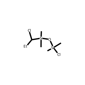 CCC(Cl)[Si](C)(C)O[Si](C)(C)Cl